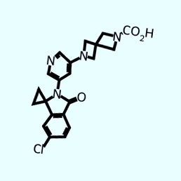 O=C(O)N1CC2(C1)CN(c1cncc(N3C(=O)c4ccc(Cl)cc4C34CC4)c1)C2